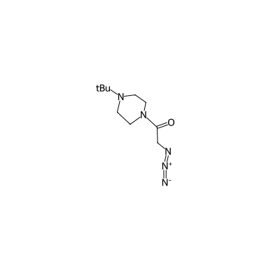 CC(C)(C)N1CCN(C(=O)CN=[N+]=[N-])CC1